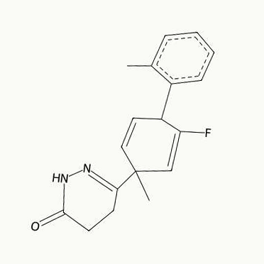 Cc1ccccc1C1C=CC(C)(C2=NNC(=O)CC2)C=C1F